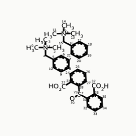 C[N+](C)(C)Cc1ccccc1.C[N+](C)(C)Cc1ccccc1.O=C(O)c1ccccc1[S+]([O-])c1ccccc1C(=O)O